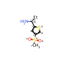 CC[C@H](N)c1cc(S(C)(=O)=O)cs1